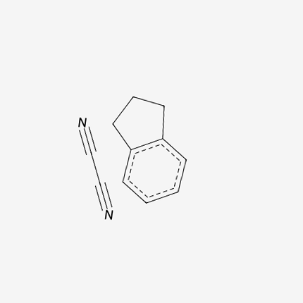 N#CC#N.c1ccc2c(c1)CCC2